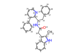 Cc1[nH]c2ccccc2c1CC(=O)NC(Cc1ccccc1)c1ncccc1-c1ccccc1